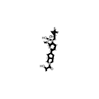 CC(O)C(=O)N1CC2CC(c3ccc4c(n3)N(C)S(O)(O)N4CC3CC3(F)F)CC2C1